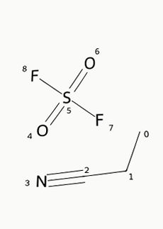 CCC#N.O=S(=O)(F)F